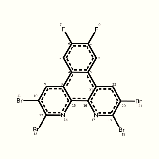 Fc1cc2c(cc1F)c1cc(Br)c(Br)nc1c1nc(Br)c(Br)cc21